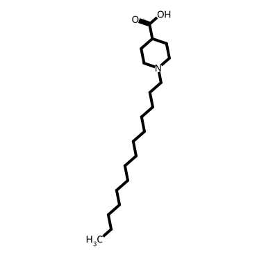 CCCCCCCCCCCCCCN1CCC(C(=O)O)CC1